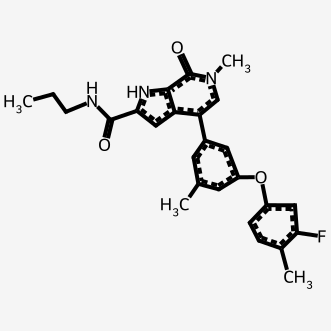 CCCNC(=O)c1cc2c(-c3cc(C)cc(Oc4ccc(C)c(F)c4)c3)cn(C)c(=O)c2[nH]1